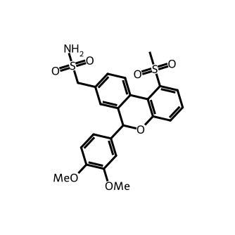 COc1ccc(C2Oc3cccc(S(C)(=O)=O)c3-c3ccc(CS(N)(=O)=O)cc32)cc1OC